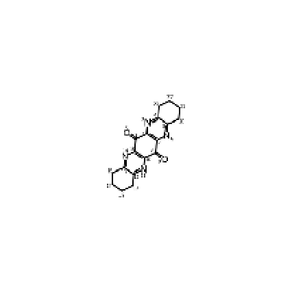 O=C1c2nc3c(nc2C(=O)c2nc4c(nc21)CCCC4)CCCC3